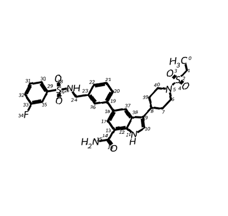 CCS(=O)(=O)N1CCC(c2c[nH]c3c(C(N)=O)cc(-c4cccc(CNS(=O)(=O)c5cccc(F)c5)c4)cc23)CC1